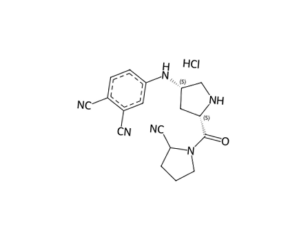 Cl.N#Cc1ccc(N[C@@H]2CN[C@H](C(=O)N3CCCC3C#N)C2)cc1C#N